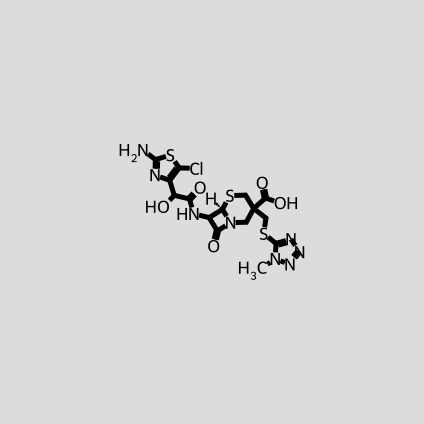 Cn1nnnc1SCC1(C(=O)O)CS[C@@H]2C(NC(=O)C(O)c3nc(N)sc3Cl)C(=O)N2C1